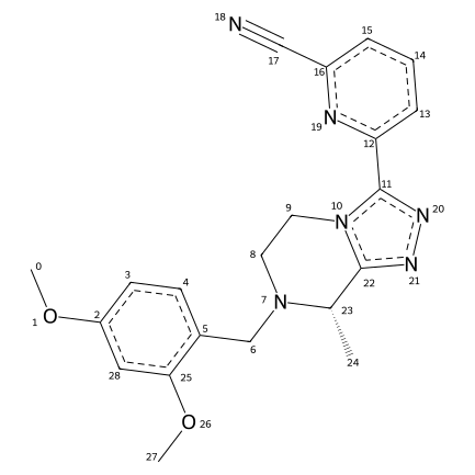 COc1ccc(CN2CCn3c(-c4cccc(C#N)n4)nnc3[C@@H]2C)c(OC)c1